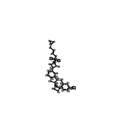 O=S(=O)(CC=CCC1CC1)N1CC(c2ccc3c(c2)C(Cc2cccc(Cl)c2)C(N2CCC2)C3)C1